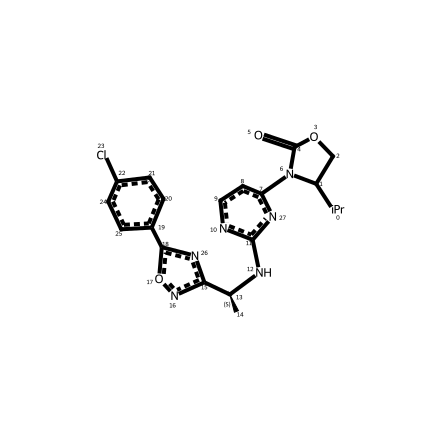 CC(C)C1COC(=O)N1c1ccnc(N[C@@H](C)c2noc(-c3ccc(Cl)cc3)n2)n1